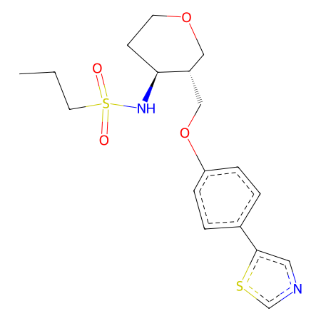 CCCS(=O)(=O)N[C@H]1CCOC[C@@H]1COc1ccc(-c2cncs2)cc1